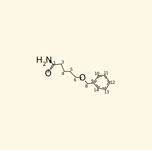 NC(=O)CCCCOCc1ccccc1